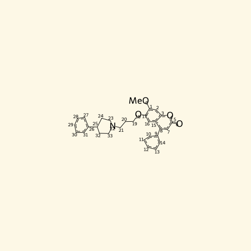 COc1cc2oc(=O)cc(-c3ccccc3)c2cc1OCCCN1CCC(c2ccccc2)CC1